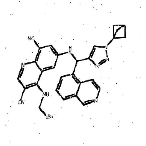 CC(C)(C)CNc1c(C#N)cnc2c(C#N)cc(NC(c3cn(C45CC(C4)C5)nn3)c3cccc4cnccc34)cc12